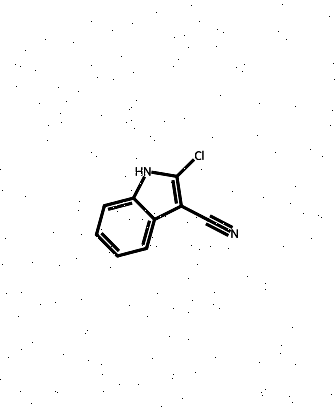 N#Cc1c(Cl)[nH]c2ccccc12